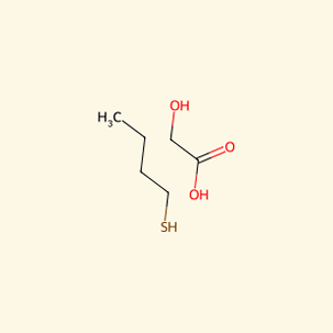 CCCCS.O=C(O)CO